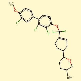 CCCC1CCC(C2CC=C(C(F)(F)Oc3ccc(-c4ccc(OC(F)(F)F)c(F)c4)c(F)c3F)CC2)OC1